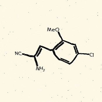 COc1cc(Cl)ccc1/C=C(\N)C#N